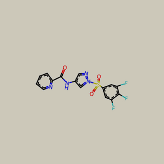 O=C(Nc1cnn(S(=O)(=O)c2cc(F)c(F)c(F)c2)c1)c1ccccn1